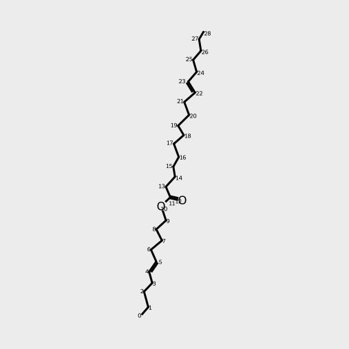 CCCC/C=C/CCCCOC(=O)CCCCCCCCC/C=C/CCCCC